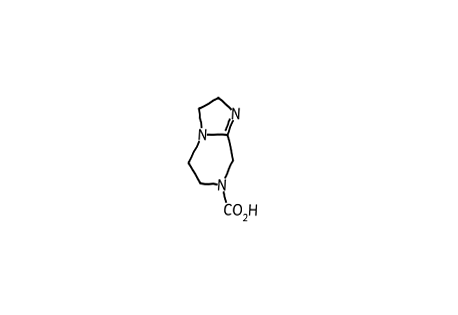 O=C(O)N1CCN2CCN=C2C1